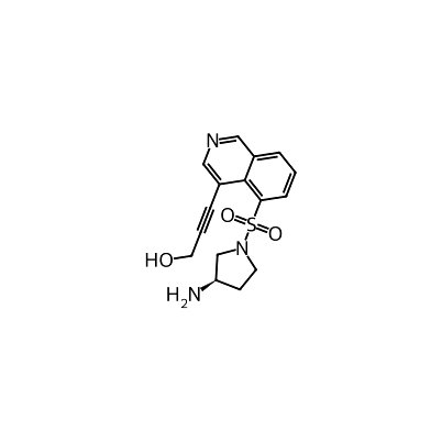 N[C@@H]1CCN(S(=O)(=O)c2cccc3cncc(C#CCO)c23)C1